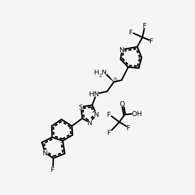 N[C@H](CNc1nnc(-c2ccc3cnc(F)cc3c2)s1)Cc1ccc(C(F)(F)F)nc1.O=C(O)C(F)(F)F